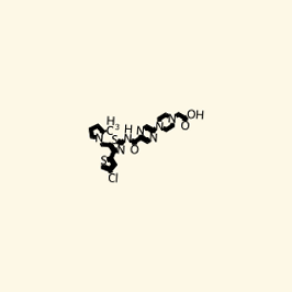 C[C@@H]1CCCN1Cc1sc(NC(=O)c2cnc(N3CCN(CC(=O)O)CC3)cn2)nc1-c1cc(Cl)cs1